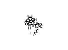 CCCCc1nc(-c2nc(O)c3c(n2)NC(=O)C3(c2ccc(F)c(F)c2)C2CC2)cn2ccnc12